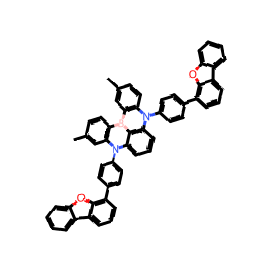 Cc1ccc2c(c1)B1c3ccc(C)cc3N(c3ccc(-c4cccc5c4oc4ccccc45)cc3)c3cccc(c31)N2c1ccc(-c2cccc3c2oc2ccccc23)cc1